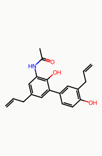 C=CCc1cc(NC(C)=O)c(O)c(-c2ccc(O)c(CC=C)c2)c1